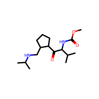 COC(=O)NC(C(=O)C1CCCC1CNC(C)C)C(C)C